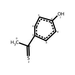 CC(=S)c1ccc(O)cc1